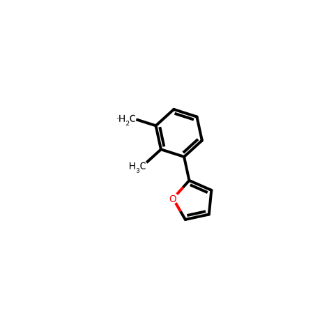 [CH2]c1cccc(-c2ccco2)c1C